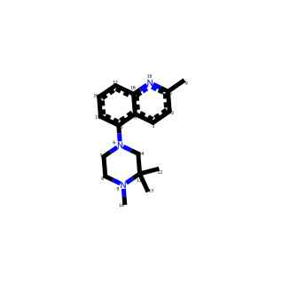 Cc1ccc2c(N3CCN(C)C(C)(C)C3)cccc2n1